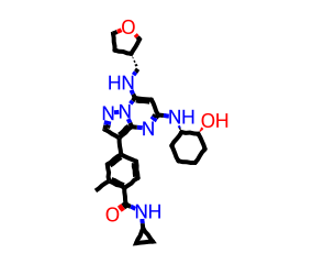 Cc1cc(-c2cnn3c(NC[C@@H]4CCOC4)cc(N[C@H]4CCCC[C@H]4O)nc23)ccc1C(=O)NC1CC1